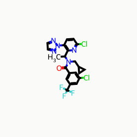 CC(c1nc(Cl)ccc1-n1nccn1)N(CC1CC1)C(=O)c1cc(Cl)cc(C(F)(F)F)c1